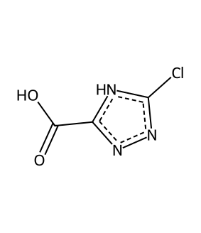 O=C(O)c1nnc(Cl)[nH]1